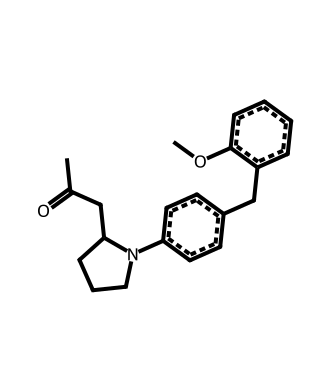 COc1ccccc1Cc1ccc(N2CCCC2CC(C)=O)cc1